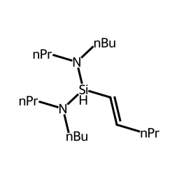 CCCC=C[SiH](N(CCC)CCCC)N(CCC)CCCC